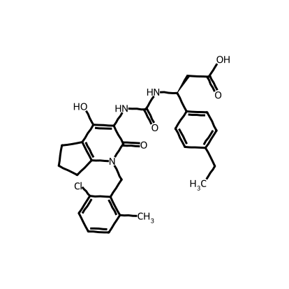 CCc1ccc([C@H](CC(=O)O)NC(=O)Nc2c(O)c3c(n(Cc4c(C)cccc4Cl)c2=O)CCC3)cc1